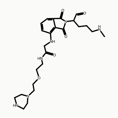 CNCCCC(C=O)N1C(=O)c2cccc(NCC(=O)NCCOCCN3CCNCC3)c2C1=O